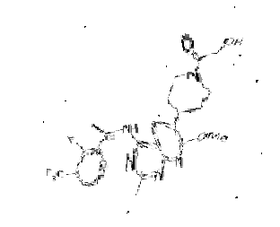 COc1nc2nc(C)nc(N[C@H](C)c3cccc(C(F)(F)F)c3F)c2cc1C1CCN(C(=O)CO)CC1